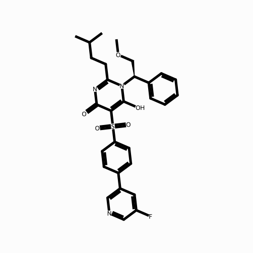 COC[C@@H](c1ccccc1)n1c(CCC(C)C)nc(=O)c(S(=O)(=O)c2ccc(-c3cncc(F)c3)cc2)c1O